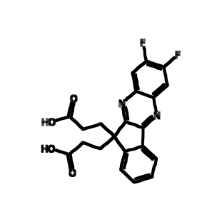 O=C(O)CCC1(CCC(=O)O)c2ccccc2-c2nc3cc(F)c(F)cc3nc21